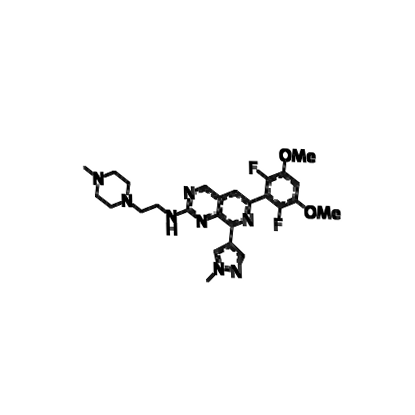 COc1cc(OC)c(F)c(-c2cc3cnc(NCCN4CCN(C)CC4)nc3c(-c3cnn(C)c3)n2)c1F